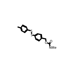 CNC(=O)OCc1ccc(SSc2ccc(C)cc2)cc1